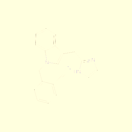 N#Cc1ccccc1Cn1cc(Cc2ncc[nH]2)c2ccccc21